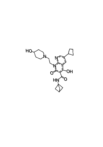 O=C(NC12CC(C1)C2)c1c(O)c2cc(C3CCC3)cnc2n(CCN2CCC(O)CC2)c1=O